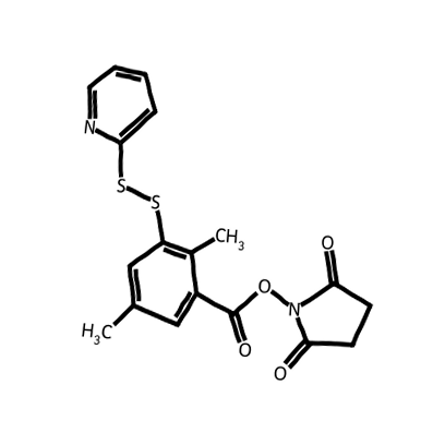 Cc1cc(SSc2ccccn2)c(C)c(C(=O)ON2C(=O)CCC2=O)c1